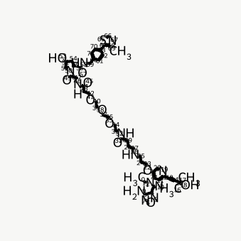 CCn1c(-c2nonc2N)nc2c(C#CC(C)(C)O)ncc(OCCCNCCCC(=O)NCCOCCOCCOCCC(=O)NCC(=O)N3C[C@H](O)C[C@H]3C(=O)NCc3ccc(-c4scnc4C)cc3)c21